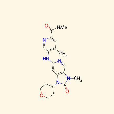 CNC(=O)c1cc(C)c(Nc2cc3c(cn2)n(C)c(=O)n3C2CCOCC2)cn1